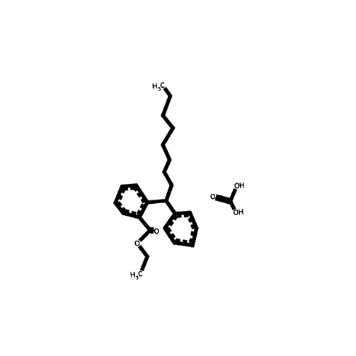 CCCCCCCCC(c1ccccc1)c1ccccc1C(=O)OCC.O=C(O)O